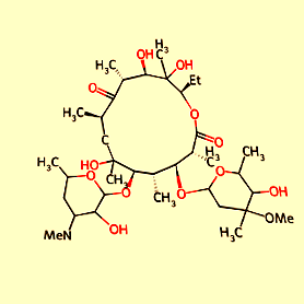 CC[C@H]1OC(=O)[C@H](C)[C@@H](OC2CC(C)(OC)C(O)C(C)O2)[C@H](C)[C@@H](OC2OC(C)CC(NC)C2O)C(C)(O)C[C@@H](C)C(=O)[C@H](C)[C@@H](O)C1(C)O